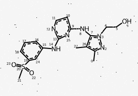 Cc1nn(CCO)c(Nc2ccnc(Nc3cccc(S(C)(=O)=O)c3)n2)c1C